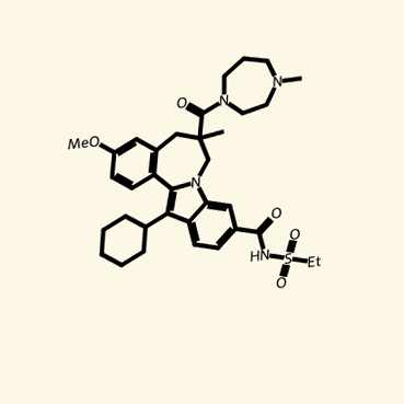 CCS(=O)(=O)NC(=O)c1ccc2c(C3CCCCC3)c3n(c2c1)CC(C)(C(=O)N1CCCN(C)CC1)Cc1cc(OC)ccc1-3